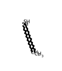 CCCCCCCCCCCCCCCCCCS.CCCCCCCCCCCCCCCCS